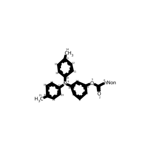 CCCCCCCCCC(=O)Oc1cccc(N(c2ccc(C)cc2)c2ccc(C)cc2)c1